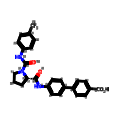 O=C(O)c1ccc(-c2ccc(NC(=O)[C@@H]3CCCN3C(=O)Nc3ccc(C(F)(F)F)cc3)cc2)cc1